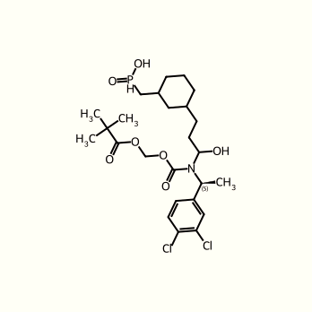 C[C@@H](c1ccc(Cl)c(Cl)c1)N(C(=O)OCOC(=O)C(C)(C)C)C(O)CCC1CCCC(C[PH](=O)O)C1